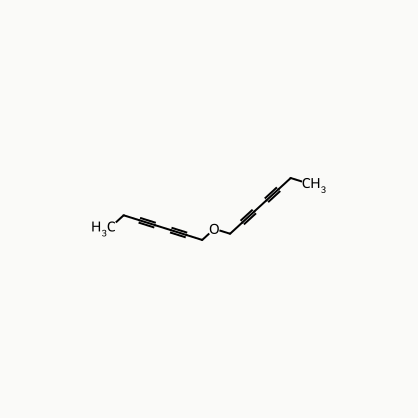 CCC#CC#CCOCC#CC#CCC